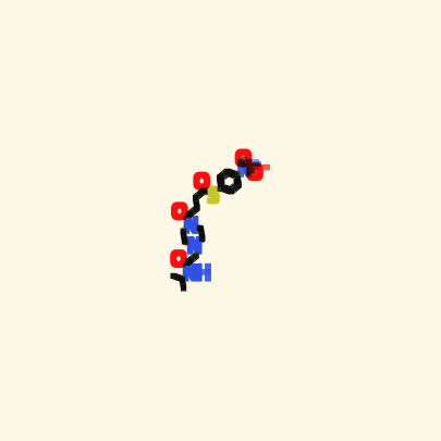 CC(C)NC(=O)CN1CCN(C(=O)CCC(=O)Sc2ccc([N+](=O)[O-])cc2)CC1